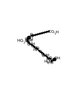 NC(=O)[C@H](Cc1ccc(O)cc1)NCC(=O)[C@H](CCCCNC(=O)COCCOCCNC(=O)COCCOCCNC(=O)CCC(NC(=O)C1CCC(CNC(=O)CCCCCCCCCCCCCCCCCCC(=O)O)CC1)C(=O)O)NI